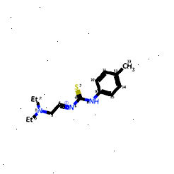 CCN(CC)C/C=N/C(=S)Nc1ccc(C)cc1